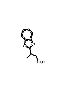 CCOC(=O)CN(C)c1nc2ccccc2o1